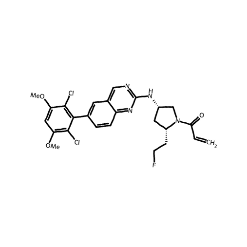 C=CC(=O)N1C[C@@H](Nc2ncc3cc(-c4c(Cl)c(OC)cc(OC)c4Cl)ccc3n2)C[C@H]1CCF